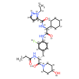 CCC(=O)N[C@H](Cc1ccc(NC(=O)[C@@H](NC(=O)c2ccnn2CC)C2CCCCC2)c(F)c1)C(=O)N1CCC(O)CC1